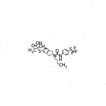 CCCCN(C(=O)Nc1ccc(SC(F)(F)F)cc1)C1Cc2ccc(SC(C)(C)C(=O)O)cc2C1